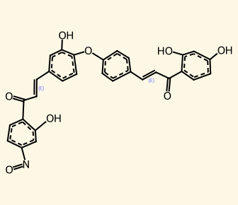 O=Nc1ccc(C(=O)/C=C/c2ccc(Oc3ccc(/C=C/C(=O)c4ccc(O)cc4O)cc3)c(O)c2)c(O)c1